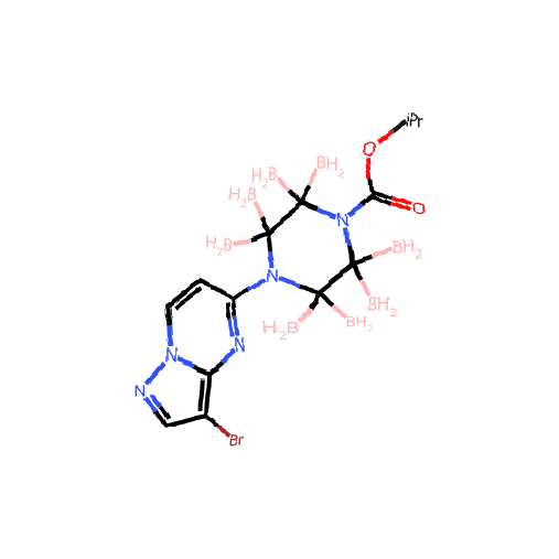 BC1(B)N(C(=O)OC(C)C)C(B)(B)C(B)(B)N(c2ccn3ncc(Br)c3n2)C1(B)B